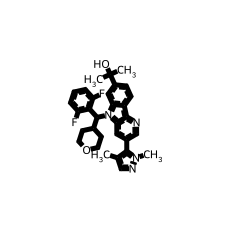 Cc1cnn(C)c1-c1cnc2c3ccc(C(C)(C)O)cc3n(C(c3c(F)cccc3F)C3CCOCC3)c2c1